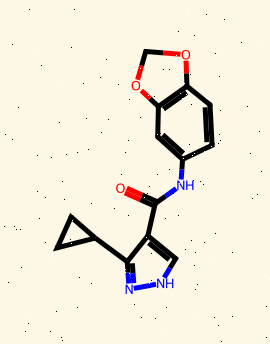 O=C(Nc1ccc2c(c1)OCO2)c1c[nH]nc1C1CC1